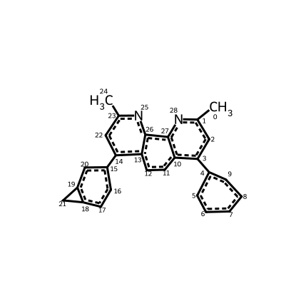 Cc1cc(-c2ccccc2)c2ccc3c(-c4ccc5c(c4)C5)cc(C)nc3c2n1